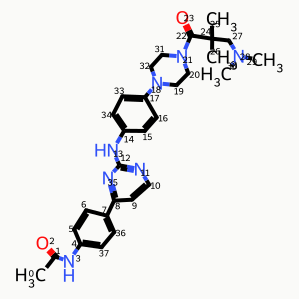 CC(=O)Nc1ccc(-c2ccnc(Nc3ccc(N4CCN(C(=O)C(C)(C)CN(C)C)CC4)cc3)n2)cc1